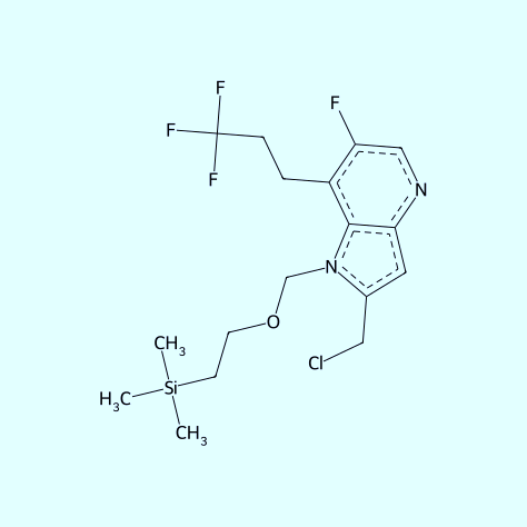 C[Si](C)(C)CCOCn1c(CCl)cc2ncc(F)c(CCC(F)(F)F)c21